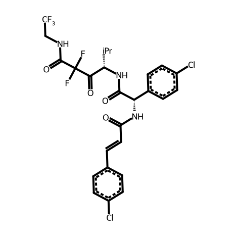 CC(C)[C@H](NC(=O)[C@@H](NC(=O)C=Cc1ccc(Cl)cc1)c1ccc(Cl)cc1)C(=O)C(F)(F)C(=O)NCC(F)(F)F